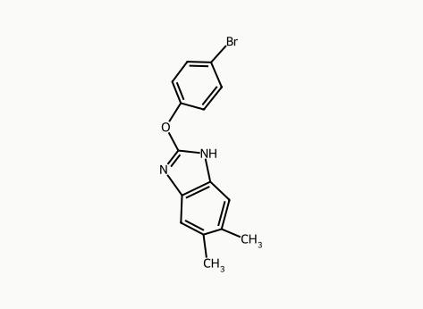 Cc1cc2nc(Oc3ccc(Br)cc3)[nH]c2cc1C